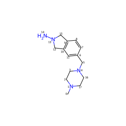 CN1CCN(Cc2ccc3c(c2)CN(N)C3)CC1